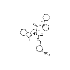 C[C@@](Cc1c[nH]c2ccccc12)(NC(=O)OCc1cccc([N+](=O)[O-])c1)C(=O)NCC1(c2ccccn2)CCCCC1